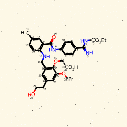 CCOC(=O)NC(=N)c1ccc(NC(=O)c2cc(C)ccc2NCc2cc(CCO)cc(OC(C)C)c2OCC(=O)O)cc1